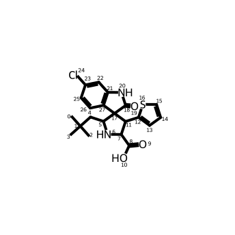 CC(C)(C)CC1NC(C(=O)O)C(c2cccs2)C12C(=O)Nc1cc(Cl)ccc12